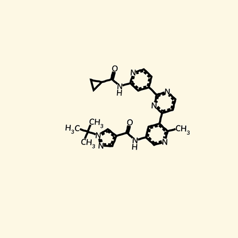 Cc1ncc(NC(=O)c2cnn(C(C)(C)C)c2)cc1-c1ccnc(-c2ccnc(NC(=O)C3CC3)c2)n1